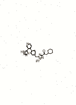 CC(C)n1nc(C(=O)CC2CCCCC2)nc1Cc1ccc(-c2ccncc2-c2nnn[nH]2)cc1